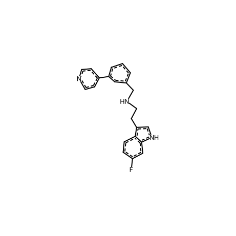 Fc1ccc2c(CCNCc3cccc(-c4ccncc4)c3)c[nH]c2c1